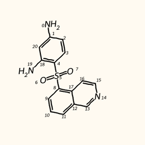 Nc1ccc(S(=O)(=O)c2cccc3cnccc23)c(N)c1